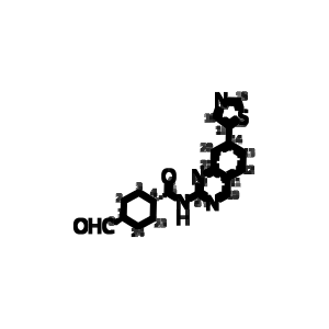 O=C[C@H]1CC[C@H](C(=O)Nc2ncc3ccc(-c4cncs4)cc3n2)CC1